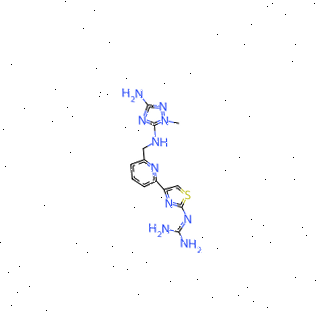 Cn1nc(N)nc1NCc1cccc(-c2csc(N=C(N)N)n2)n1